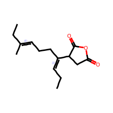 CC/C=C(/CC/C=C(\C)CC)C1CC(=O)OC1=O